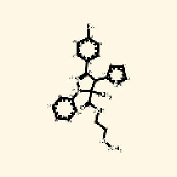 COCCNC(=O)C1(C)C(c2cccs2)C(c2ccc(F)cc2)=NN1c1ccccc1